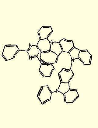 c1ccc(-c2nc(-c3ccccc3)nc(-c3ccccc3-n3c4ccccc4c4c3ccc3c5ccccc5n(-c5ccc6c(c5)c5ccccc5n6-c5ccccc5)c34)n2)cc1